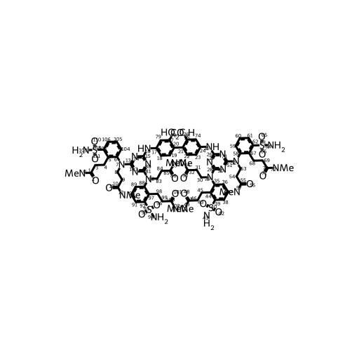 CNC(=O)CCc1c(N(CCC(=O)NC)c2nc(Nc3ccc(-c4ccc(Nc5nc(N(CCC(=O)NC)c6cccc(S(N)(=O)=O)c6CCC(=O)NC)nc(N(CCC(=O)NC)c6cccc(S(N)(=O)=O)c6CCC(=O)NC)n5)cc4C(=O)O)c(C(=O)O)c3)nc(N(CCC(=O)NC)c3cccc(S(N)(=O)=O)c3CCC(=O)NC)n2)cccc1S(N)(=O)=O